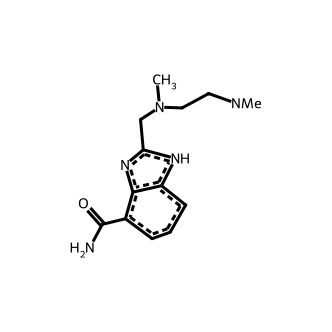 CNCCN(C)Cc1nc2c(C(N)=O)cccc2[nH]1